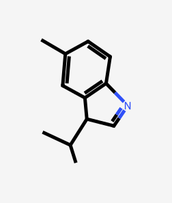 Cc1ccc2c(c1)C(C(C)C)C=N2